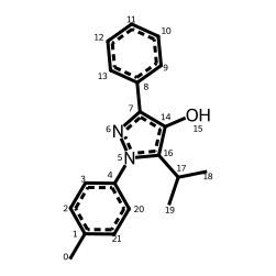 Cc1ccc(-n2nc(-c3ccccc3)c(O)c2C(C)C)cc1